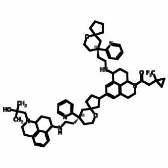 CC(C)(O)CN1CCc2cccc3c2C1CCC3NCC[C@@]1(c2ccccn2)CCOC2(CCC(c3cc4c5c(c3)C(NCC[C@@]3(c6ccccn6)CCOC6(CCCC6)C3)CCC5N(C(=O)CC3(C(F)(F)F)CC3)CC4)C2)C1